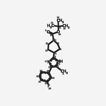 Cc1[nH]c(C2CCN(C(=O)OC(C)(C)C)CC2)nc1-c1cccc(F)c1